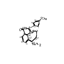 N#Cc1ccc([C@@H]2NC(=O)c3cccc4c3N2CC[C@@H]4N)cc1